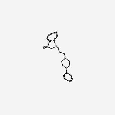 O=[Se]1CN(CCCN2CCN(c3ccccc3)CC2)c2ccccc21